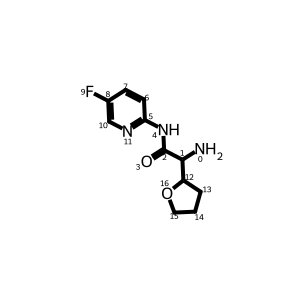 NC(C(=O)Nc1ccc(F)cn1)C1CCCO1